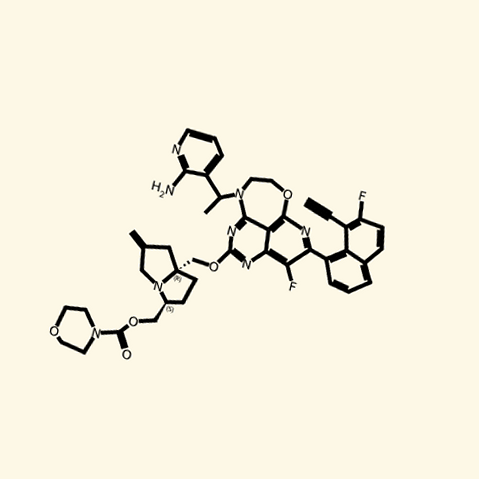 C#Cc1c(F)ccc2cccc(-c3nc4c5c(nc(OC[C@]67CC[C@@H](COC(=O)N8CCOCC8)N6CC(=C)C7)nc5c3F)N(C(C)c3cccnc3N)CCO4)c12